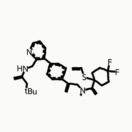 C=CSC1(C(=C)N(C)CC(=C)c2ccc(-c3cccnc3CNC(=C)CC(C)(C)C)cc2)CCC(F)(F)CC1